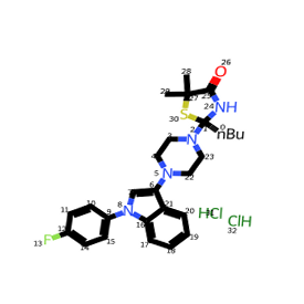 CCCCC1(N2CCN(c3cn(-c4ccc(F)cc4)c4ccccc34)CC2)NC(=O)C(C)(C)S1.Cl.Cl